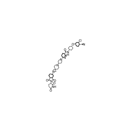 N#Cc1ccc(O[C@H]2CC[C@H](NC(=O)c3ccc(N4CCC(N5CCC6(CC5)CN(c5ccc7c(c5)C(=O)N(C5CCC(=O)NC5=O)C7=O)C6)CC4)nn3)CC2)cc1Cl